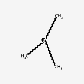 CCCCCCCCCCCCCCCCCc1n(CCCCCCCCCCCCCCCC)cc[n+]1CCCCCCCCCCCCC